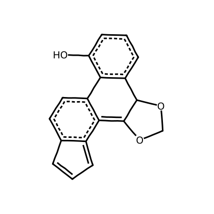 Oc1cccc2c1-c1ccc3c(c1=C1OCOC12)=CC=C3